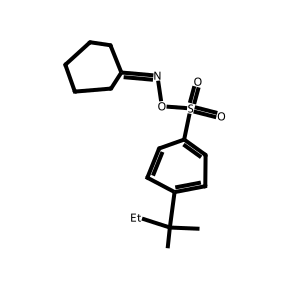 CCC(C)(C)c1ccc(S(=O)(=O)ON=C2CCCCC2)cc1